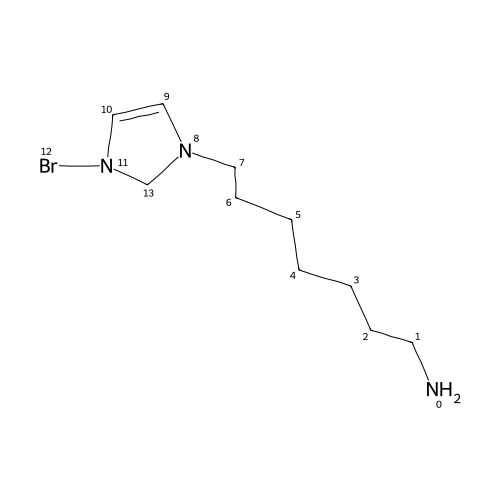 NCCCCCCCN1C=CN(Br)C1